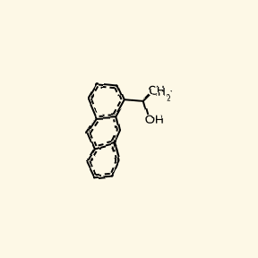 [CH2]C(O)c1cccc2cc3ccccc3cc12